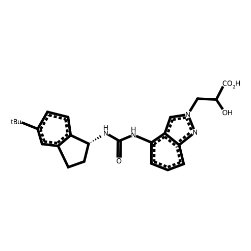 CC(C)(C)c1ccc2c(c1)CC[C@H]2NC(=O)Nc1cccc2nn(CC(O)C(=O)O)cc12